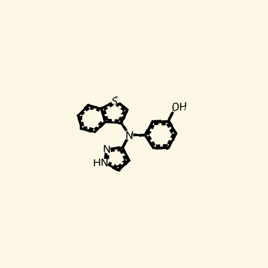 Oc1cccc(N(c2cc[nH]n2)c2csc3ccccc23)c1